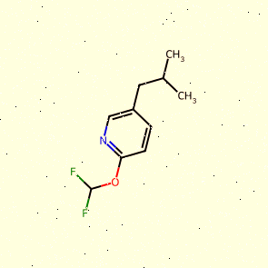 CC(C)Cc1ccc(OC(F)F)nc1